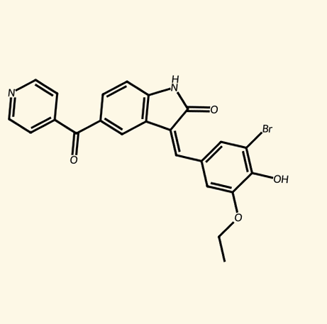 CCOc1cc(/C=C2\C(=O)Nc3ccc(C(=O)c4ccncc4)cc32)cc(Br)c1O